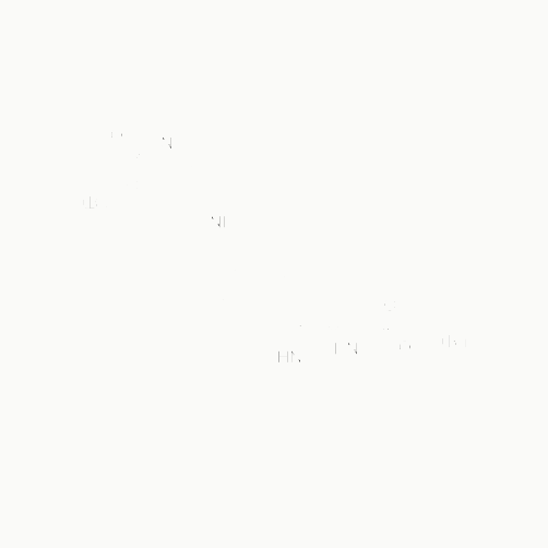 CN(CCNCc1ccc(C(=O)Nc2ccccc2NC(=O)OC(C)(C)C)cc1)C(=O)OC(C)(C)C